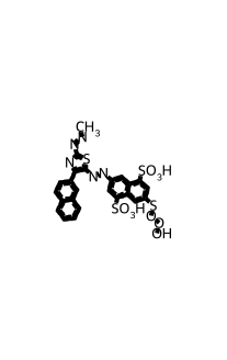 CN=Nc1nc(-c2ccc3ccccc3c2)c(N=Nc2cc(S(=O)(=O)O)c3cc(SOOO)cc(S(=O)(=O)O)c3c2)s1